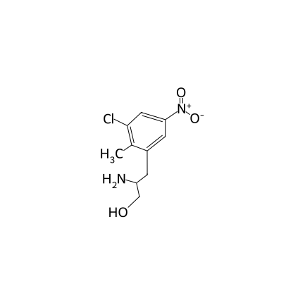 Cc1c(Cl)cc([N+](=O)[O-])cc1CC(N)CO